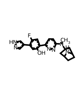 CN(c1ccc(-c2cc(F)c(-c3cn[nH]c3)cc2O)nn1)C1CC2CCC(C1)N2